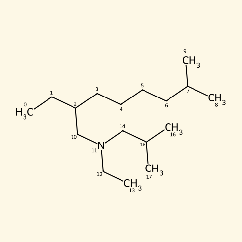 CCC(CCCCC(C)C)CN(CC)CC(C)C